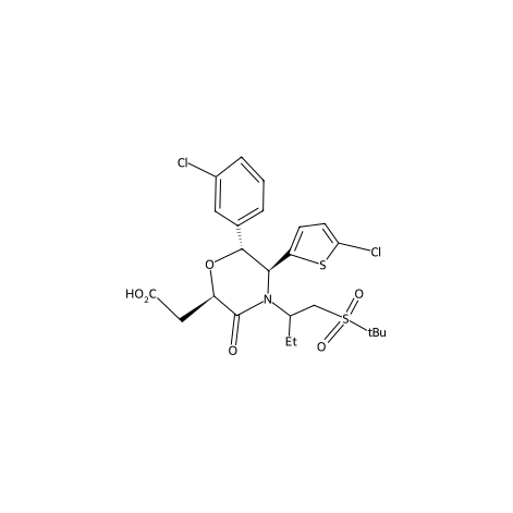 CCC(CS(=O)(=O)C(C)(C)C)N1C(=O)[C@@H](CC(=O)O)O[C@H](c2cccc(Cl)c2)[C@H]1c1ccc(Cl)s1